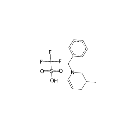 CC1CC=CN(Cc2ccccc2)C1.O=S(=O)(O)C(F)(F)F